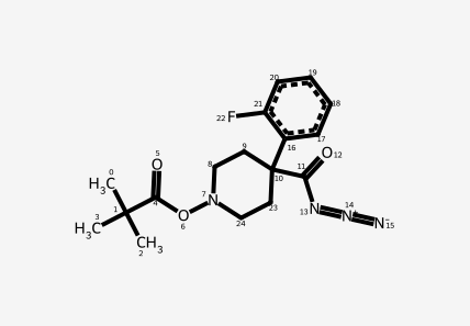 CC(C)(C)C(=O)ON1CCC(C(=O)N=[N+]=[N-])(c2ccccc2F)CC1